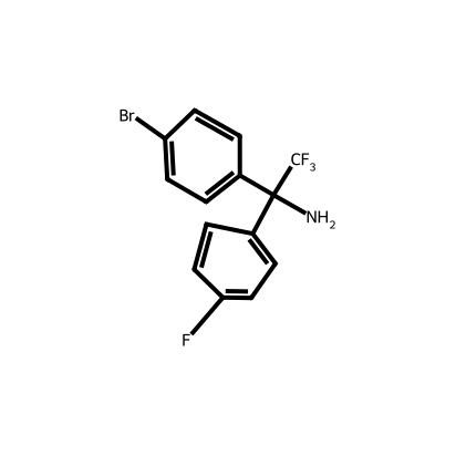 NC(c1ccc(F)cc1)(c1ccc(Br)cc1)C(F)(F)F